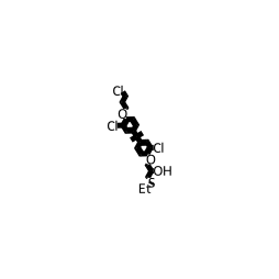 CCSCC(O)COc1ccc(C(C)(C)c2ccc(OCCCCl)c(Cl)c2)cc1Cl